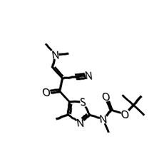 Cc1nc(N(C)C(=O)OC(C)(C)C)sc1C(=O)/C(C#N)=C/N(C)C